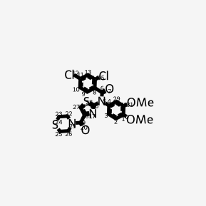 COc1ccc(N(C(=O)c2ccc(Cl)cc2Cl)c2nc(C(=O)N3CCSCC3)cs2)cc1OC